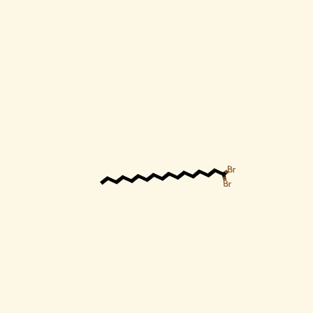 CCCCCCCCCCCCCCCCC(Br)Br